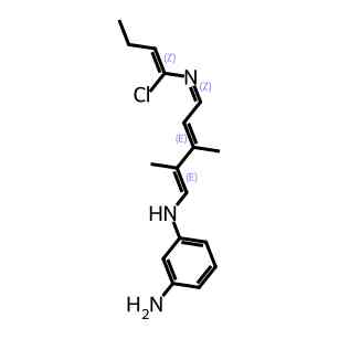 CC/C=C(Cl)/N=C\C=C(C)\C(C)=C\Nc1cccc(N)c1